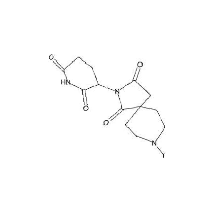 O=C1CCC(N2C(=O)CC3(CCN(I)CC3)C2=O)C(=O)N1